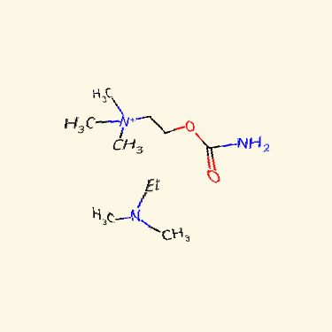 CCN(C)C.C[N+](C)(C)CCOC(N)=O